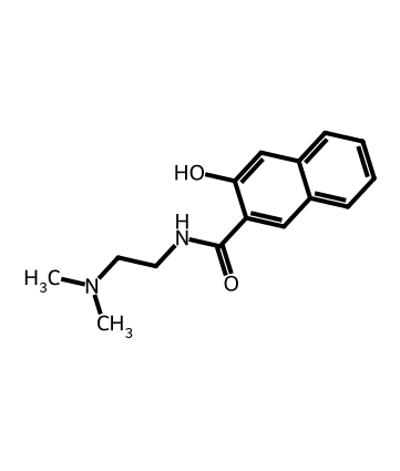 CN(C)CCNC(=O)c1cc2ccccc2cc1O